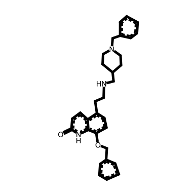 O=c1ccc2c(CCNCC3CCN(Cc4ccccc4)CC3)ccc(OCc3ccccc3)c2[nH]1